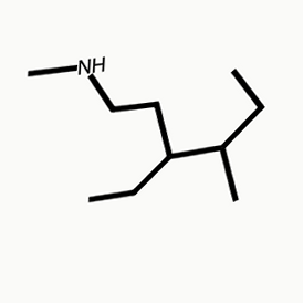 CCC(C)C(CC)CCNC